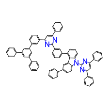 C1=CC(c2cc(-c3cccc(-c4cc(-c5ccccc5)cc(-c5ccccc5)c4)c3)nc(-c3cccc(-c4cccc5c4c4cc(-c6ccccc6)ccc4n5-c4nc(-c5ccccc5)cc(-c5ccccc5)n4)c3)n2)=CCC1